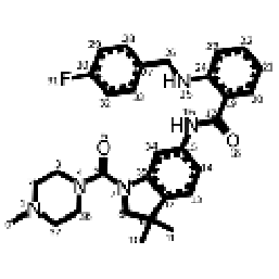 CN1CCN(C(=O)N2CC(C)(C)c3ccc(NC(=O)c4ccccc4NCc4ccc(F)cc4)cc32)CC1